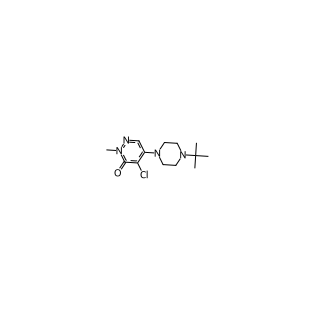 Cn1ncc(N2CCN(C(C)(C)C)CC2)c(Cl)c1=O